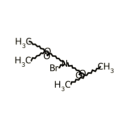 CCCCCCCCC(CCCCCCCC)OC(=O)CCCCCCCN(CCCBr)CCCCCCCC(=O)OC(CCCCCCCC)CCCCCCCC